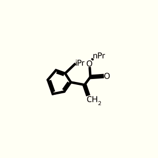 C=C(C(=O)OCCC)c1ccccc1C(C)C